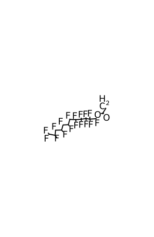 C=CC(=O)OC(F)C(F)(F)C(F)(F)C(F)(F)C(F)(F)C(F)C(F)C(F)C(F)C(F)C(F)C(F)F